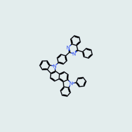 c1ccc(-c2nc(-c3ccc(-n4c5ccccc5c5ccc6c(ccc7c6c6ccccc6n7-c6ccccc6)c54)cc3)nc3ccccc23)cc1